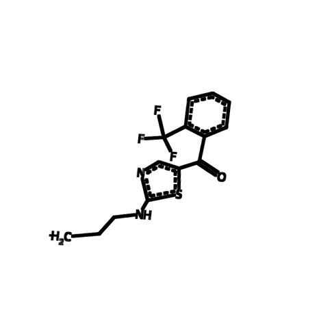 [CH2]CCNc1ncc(C(=O)c2ccccc2C(F)(F)F)s1